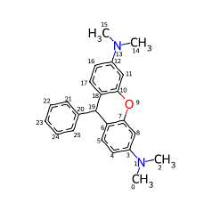 CN(C)c1ccc2c(c1)Oc1cc(N(C)C)ccc1C2c1ccccc1